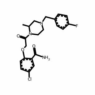 CC1CN(Cc2ccc(F)cc2)CCN1C(=O)COc1ccc(Cl)cc1C(N)=O